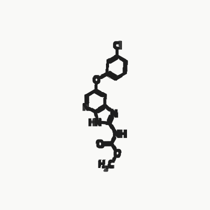 COC(=O)Nc1nc2cc(Oc3cccc(Cl)c3)cnc2[nH]1